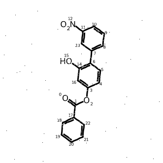 O=C(Oc1ccc(-c2cccc([N+](=O)[O-])c2)c(O)c1)c1ccccc1